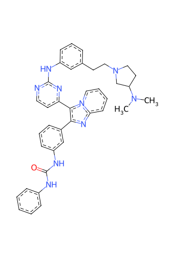 CN(C)C1CCN(CCc2cccc(Nc3nccc(-c4c(-c5cccc(NC(=O)Nc6ccccc6)c5)nc5ccccn45)n3)c2)C1